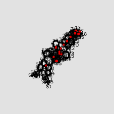 CC1=CC2=C(C=CC=CC2c2ccc3cc(O[Si](C)(C)C(C)(C)C)ccc3c2)[C]12[SiH](C)[C]1(C(C)=CC3=C1C=CC=CC3c1ccc3cc(O[Si](C)(C)C(C)(C)C)ccc3c1)[Zr]21([Cl])([Cl])[C]2(C(C)=CC3=C2C=CC=CC3c2ccc3cc(O[Si](C)(C)C(C)(C)C)ccc3c2)[SiH](C)[C]12C(C)=CC1=C2C=CC=CC1c1ccc2cc(O[Si](C)(C)C(C)(C)C)ccc2c1